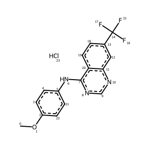 COc1ccc(Nc2ncnc3cc(C(F)(F)F)ccc23)cc1.Cl